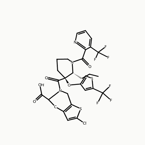 CCC[C@H]1N(C(=O)c2ncccc2C(F)(F)F)CCC[C@@]1(Oc1csc(C(F)(F)F)c1)C(=O)N1Cc2sc(Cl)cc2CC1C(=O)O